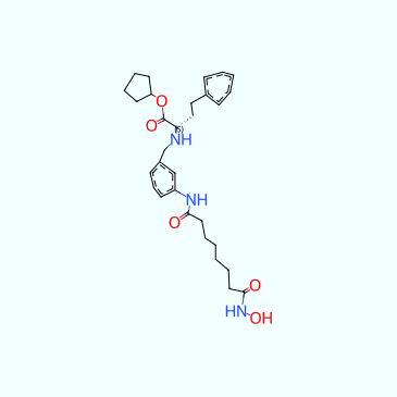 O=C(CCCCCCC(=O)Nc1cccc(CN[C@@H](CCc2ccccc2)C(=O)OC2CCCC2)c1)NO